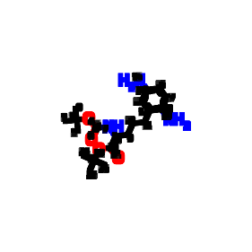 CC(C)(C)OC(=O)NC(CCCc1cc(N)ccc1N)C(=O)OC(C)(C)C